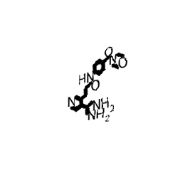 N/C=C(\CN)c1ccncc1/C=C/C(=O)Nc1ccc(C(=O)N2CCOCC2)cc1